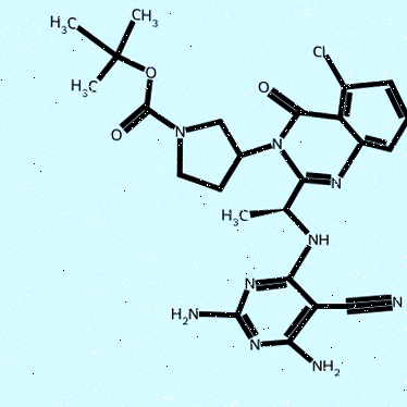 C[C@H](Nc1nc(N)nc(N)c1C#N)c1nc2cccc(Cl)c2c(=O)n1C1CCN(C(=O)OC(C)(C)C)C1